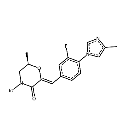 CCN1C[C@@H](C)O/C(=C\c2ccc(-n3cnc(C)c3)c(F)c2)C1=O